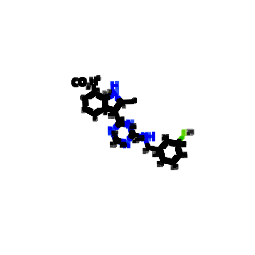 Cc1[nH]c2c(C(=O)O)cccc2c1-c1ncnc(NCc2cccc(F)c2)n1